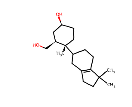 CC1(C)CCC2=C1CCC([C@@]1(C)CC[C@H](O)C[C@@H]1CO)C2